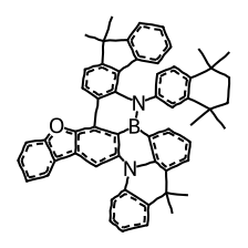 CC1(C)CCC(C)(C)c2cc(N3B4c5cccc6c5N(c5ccccc5C6(C)C)c5cc6c(oc7ccccc76)c(c54)-c4ccc5c(c43)-c3ccccc3C5(C)C)ccc21